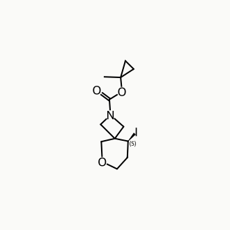 CC1(OC(=O)N2CC3(COCC[C@@H]3I)C2)CC1